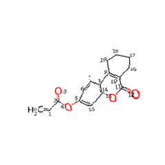 C=CC(=O)Oc1ccc2c3c(c(=O)oc2c1)CCCC3